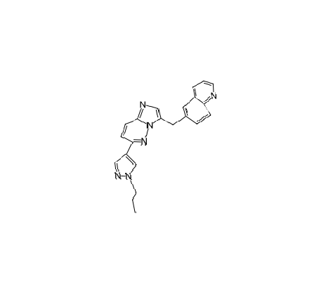 CCCn1cc(-c2ccc3ncc(Cc4ccc5ncccc5c4)n3n2)cn1